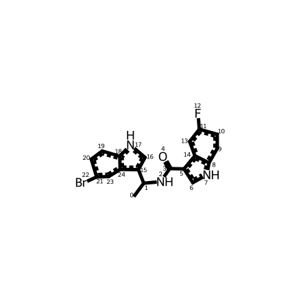 CC(NC(=O)c1c[nH]c2ccc(F)cc12)c1c[nH]c2ccc(Br)cc12